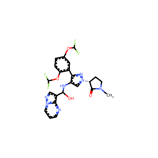 CN1CC[C@@H](n2cc(NC(O)c3cnn4cccnc34)c(-c3cc(OC(F)F)ccc3OC(F)F)n2)C1=O